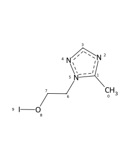 Cc1ncnn1CCOI